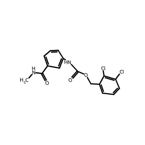 CNC(=O)c1cccc(NC(=O)OCc2cccc(Cl)c2Cl)c1